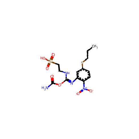 CCCSc1ccc([N+](=O)[O-])c(/N=C(\NCCS(=O)(=O)O)OC(N)=O)c1